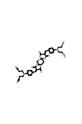 [C-]#[N+]CCN(CC[N+]#[C-])c1ccc(C=C2C(=O)OC3(CCC4(CC3)OC(=O)C(=Cc3ccc(N(CCC#N)CCC#N)cc3)C(=O)O4)OC2=O)cc1